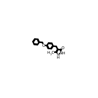 Cc1[nH][nH]c(=O)c1Cc1ccc(OCc2ccccc2)cc1